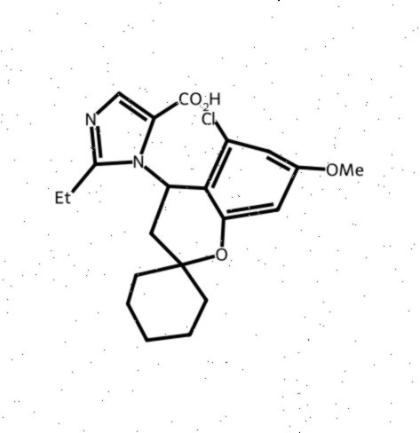 CCc1ncc(C(=O)O)n1C1CC2(CCCCC2)Oc2cc(OC)cc(Cl)c21